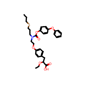 CCCSCCCN(CCOc1ccc(CC(OCC)C(=O)O)cc1)C(=O)Oc1ccc(Oc2ccccc2)cc1